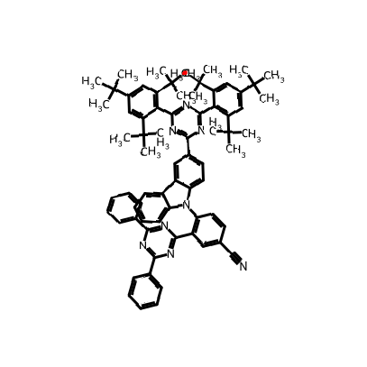 CC(C)(C)c1cc(C(C)(C)C)c(-c2nc(-c3ccc4c(c3)c3ccccc3n4-c3ccc(C#N)cc3-c3nc(-c4ccccc4)nc(-c4ccccc4)n3)nc(-c3c(C(C)(C)C)cc(C(C)(C)C)cc3C(C)(C)C)n2)c(C(C)(C)C)c1